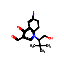 CC(C)(C)C(CO)n1cc(C=O)c(=O)c2c1CCC(I)=C2